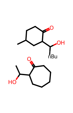 CC(O)C1CCCCCC1=O.CCCCC(O)C1CC(C)CCC1=O